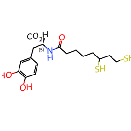 O=C(CCCCC(S)CCS)N[C@@H](Cc1ccc(O)c(O)c1)C(=O)O